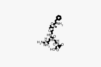 CC(CC[C@H](NCC(=O)C[C@H](C(C)C)N(C)C(=O)[C@H](N)Cc1ccccc1)C(=O)NCC(=O)N[C@@]1(CC(=O)O)CC1=O)NC(N)N